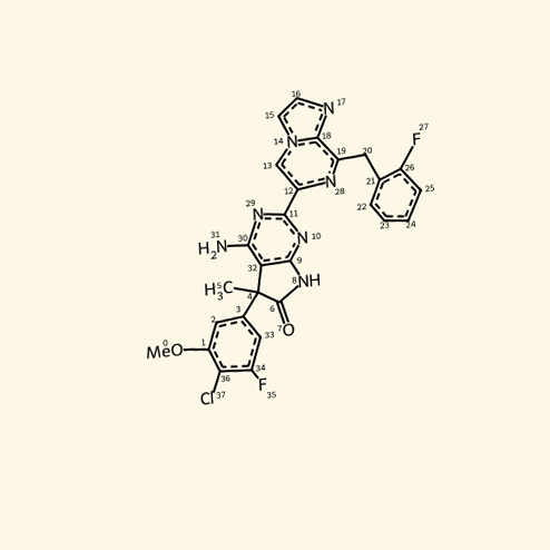 COc1cc(C2(C)C(=O)Nc3nc(-c4cn5ccnc5c(Cc5ccccc5F)n4)nc(N)c32)cc(F)c1Cl